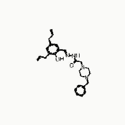 C=CCc1cc(/C=N/NC(=O)CN2CCN(Cc3ccccc3)CC2)c(O)c(CC=C)c1